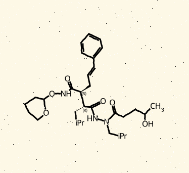 CC(C)C[C@@H](C(=O)NN(CC(C)C)C(=O)CCC(C)O)[C@H](CC=Cc1ccccc1)C(=O)NOC1CCCCO1